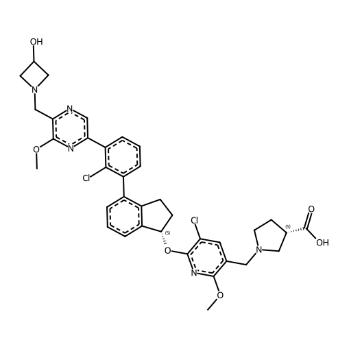 COc1nc(O[C@H]2CCc3c(-c4cccc(-c5cnc(CN6CC(O)C6)c(OC)n5)c4Cl)cccc32)c(Cl)cc1CN1CC[C@H](C(=O)O)C1